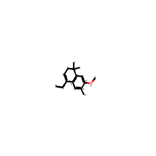 CCC1=CCC(C)(C)c2cc(OC)c(C)cc21